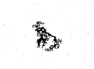 CC(C)(C)OC(=O)NCCC#Cc1ccc2c(ccn2C(=O)OC(C)(C)C)c1NC(=O)C1(C(F)F)CC1